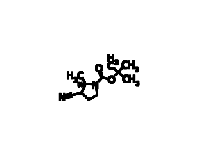 C[C@@H]1C(C#N)CCN1C(=O)OC(C)(C)C